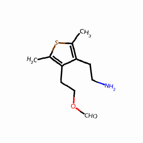 Cc1sc(C)c(CCOC=O)c1CCN